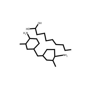 CC1CC(CC2CCC(N)C(C)C2)CCC1N.CCCCCCCCC(O)O